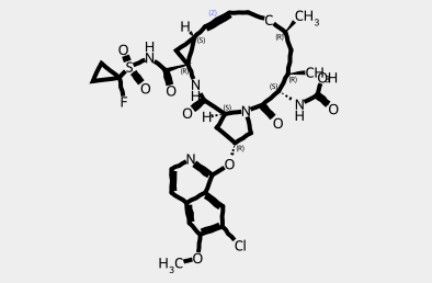 COc1cc2ccnc(O[C@@H]3C[C@H]4C(=O)N[C@]5(C(=O)NS(=O)(=O)C6(F)CC6)C[C@H]5/C=C\CC[C@@H](C)C[C@@H](C)[C@H](NC(=O)O)C(=O)N4C3)c2cc1Cl